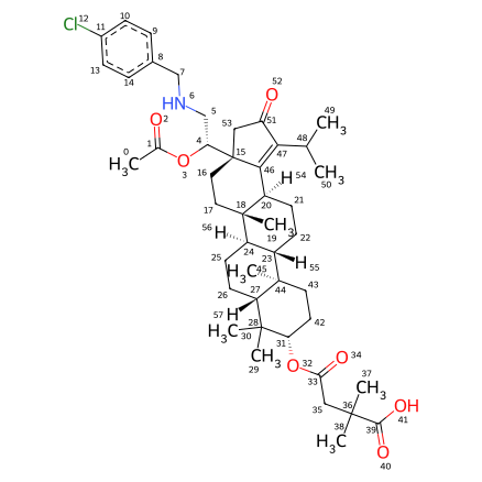 CC(=O)O[C@H](CNCc1ccc(Cl)cc1)[C@@]12CC[C@]3(C)[C@H](CC[C@H]4[C@H]3CC[C@H]3C(C)(C)[C@@H](OC(=O)CC(C)(C)C(=O)O)CC[C@]43C)C1=C(C(C)C)C(=O)C2